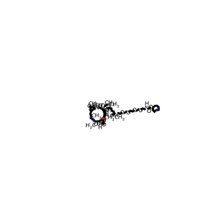 COc1cc2cc(c1Cl)N(C)C(=O)C[C@H](OC(=O)[C@H](C)N(C)C(=O)CCCC(=O)N(C)CCOCCOCCOCCOCCNC(=O)OC1CC/C=C/CCC1)[C@]1(C)O[C@H]1[C@H](C)[C@@H]1C[C@@](O)(NC(=O)O1)[C@H](OC)/C=C/C=C(\C)C2